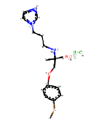 CSc1ccc(OCC(C)(C)NCCCn2ccnc2)cc1.Cl.Cl.O